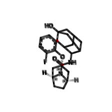 O=C(NC1C2CC3CC1CC(O)(C3)C2)N1[C@@H]2CC[C@H]1C[C@H](Oc1ccccc1F)C2